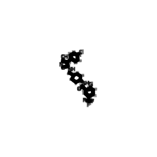 Cc1noc(NCC2CCC(NC(=O)c3cc(C(F)(F)F)ccc3Cl)CC2)c1-c1ccc(Cl)cc1